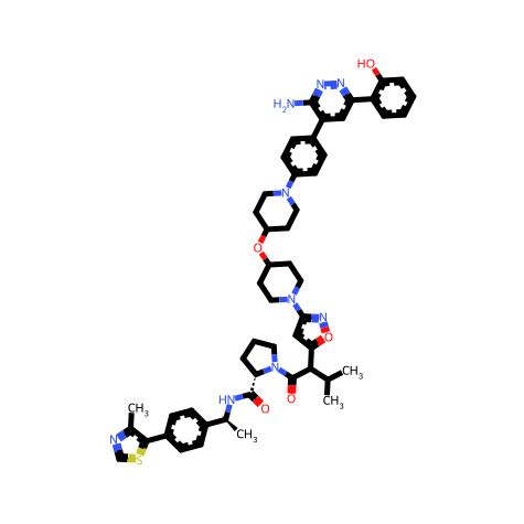 Cc1ncsc1-c1ccc([C@H](C)NC(=O)[C@@H]2CCCN2C(=O)C(c2cc(N3CCC(OC4CCN(c5ccc(-c6cc(-c7ccccc7O)nnc6N)cc5)CC4)CC3)no2)C(C)C)cc1